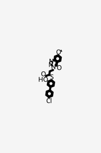 COc1ccc2c(=O)n(CCC(Sc3ccc(-c4ccc(Cl)cc4)cc3)C(=O)O)nnc2c1